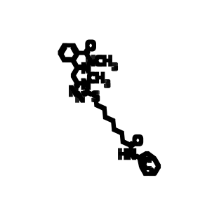 Cn1c(Cc2nn(C)c(=O)c3ccccc23)nnc1SCCCCCCCC(=O)NC12CC3CC(CC1C3)C2